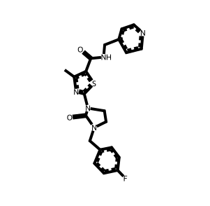 Cc1nc(N2CCN(Cc3ccc(F)cc3)C2=O)sc1C(=O)NCc1ccncc1